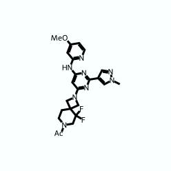 COc1ccnc(Nc2cc(N3CC4(CCN(C(C)=O)CC4(F)F)C3)nc(-c3cnn(C)c3)n2)c1